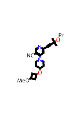 COC1CC(OC2CCN(c3cc(C#CC(C)(C)OC(C)C)ncc3C#N)CC2)C1